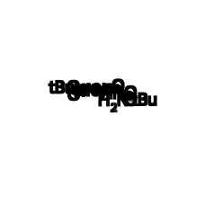 CC(C)(C)OC(=O)[C@@H](N)CNC(=O)c1ccc(N2CCN(C3CCN(C(=O)OC(C)(C)C)CC3)CC2)cc1